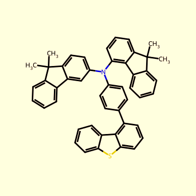 CC1(C)c2ccccc2-c2cc(N(c3ccc(-c4cccc5sc6ccccc6c45)cc3)c3cccc4c3-c3ccccc3C4(C)C)ccc21